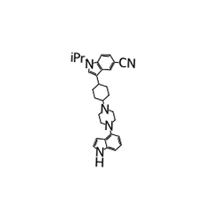 CC(C)n1cc(C2CCC(N3CCN(c4cccc5[nH]ccc45)CC3)CC2)c2cc(C#N)ccc21